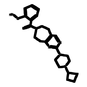 CCCOc1ccccc1C(=O)N1CCc2cnc(N3CCN(C4CCC4)CC3)nc2CC1